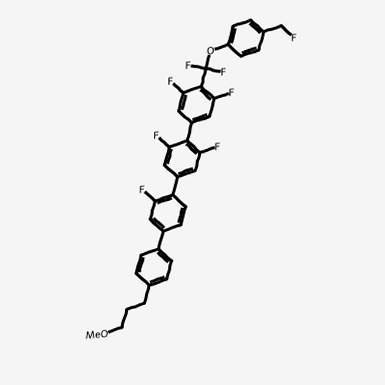 COCCCc1ccc(-c2ccc(-c3cc(F)c(-c4cc(F)c(C(F)(F)Oc5ccc(CF)cc5)c(F)c4)c(F)c3)c(F)c2)cc1